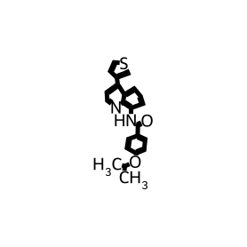 CC(C)Oc1ccc(C(=O)Nc2cccc3c(-c4ccsc4)ccnc23)cc1